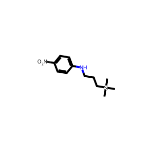 C[Si](C)(C)CCCNc1ccc([N+](=O)[O-])cc1